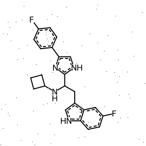 Fc1ccc(-c2c[nH]c(C(Cc3c[nH]c4ccc(F)cc34)NC3CCC3)n2)cc1